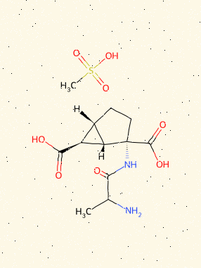 CC(N)C(=O)N[C@@]1(C(=O)O)CC[C@H]2[C@H](C(=O)O)[C@H]21.CS(=O)(=O)O